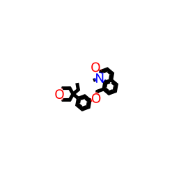 CCC1(c2cccc(OCc3cccc4ccc(=O)n(C)c34)c2)CCOCC1